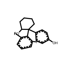 Oc1ccc(C2(c3c(F)cccc3F)CCCCC2O)cc1